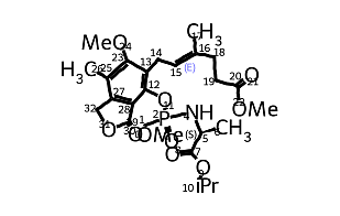 COCP(=O)(N[C@@H](C)C(=O)OC(C)C)Oc1c(C/C=C(\C)CCC(=O)OC)c(OC)c(C)c2c1C(=O)OC2